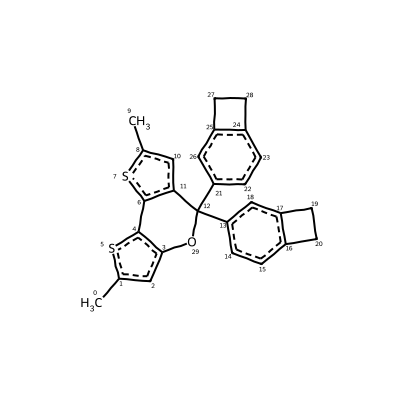 Cc1cc2c(s1)-c1sc(C)cc1C(c1ccc3c(c1)CC3)(c1ccc3c(c1)CC3)O2